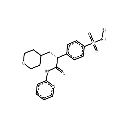 CCNS(=O)(=O)c1ccc([C@@H](CC2CCOCC2)C(=O)Nc2ccccn2)cc1